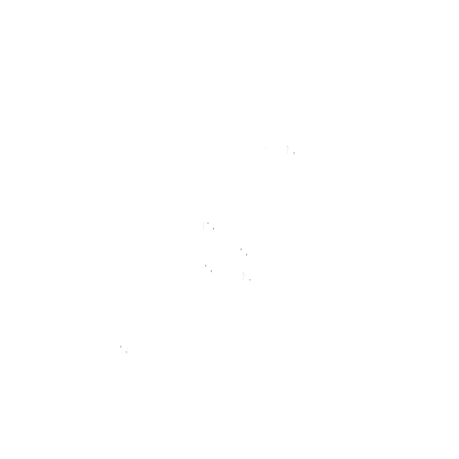 N#Cc1ccc(-c2cccn3nc(Nc4ccc(C(=O)N5CCCCC5O)cc4)nc23)cc1